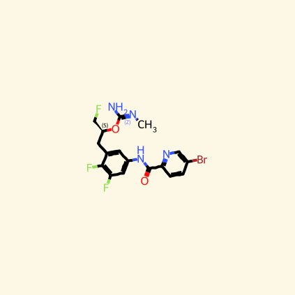 C/N=C(/N)O[C@H](CF)Cc1cc(NC(=O)c2ccc(Br)cn2)cc(F)c1F